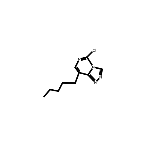 CCCCCc1cnc(Cl)n2cnnc12